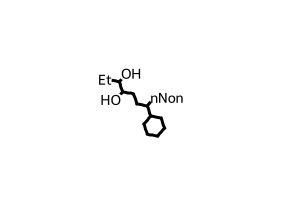 CCCCCCCCCC(CCC(O)C(O)CC)C1CCCCC1